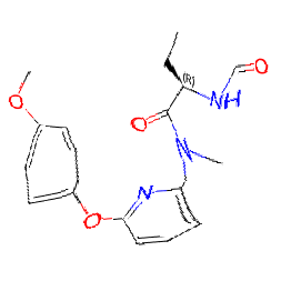 CC[C@@H](NC=O)C(=O)N(C)c1cccc(Oc2ccc(OC)cc2)n1